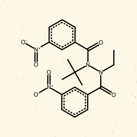 CCN(C(=O)c1cccc([N+](=O)[O-])c1)N(C(=O)c1cccc([N+](=O)[O-])c1)C(C)(C)C